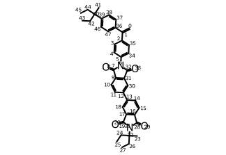 C=C(c1ccc(N2C(=O)c3ccc(-c4ccc5c(c4)C(=O)N(C(C)(CC)CC)C5=O)cc3C2=O)cc1)c1ccc(C(C)(CC)CC)cc1